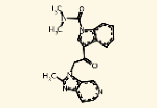 Cc1nc2ccncc2n1CC(=O)c1cn(C(=O)N(C)C)c2ccccc12